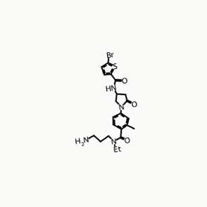 CCN(CCCN)C(=O)c1ccc(N2CC(NC(=O)c3ccc(Br)s3)CC2=O)cc1C